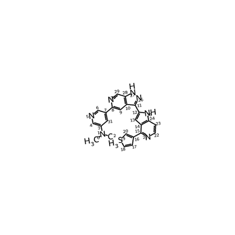 CN(C)c1cncc(-c2cc3c(-c4cc5c(-c6ccsc6)nccc5[nH]4)n[nH]c3cn2)c1